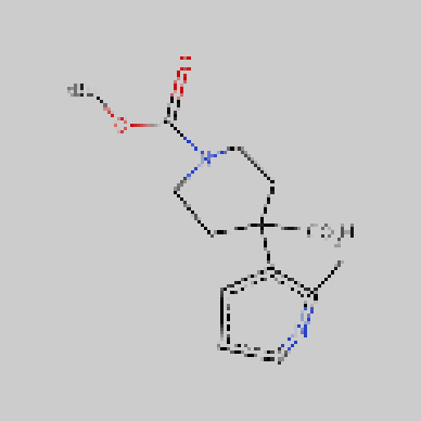 Cc1ncccc1C1(C(=O)O)CCN(C(=O)OC(C)(C)C)CC1